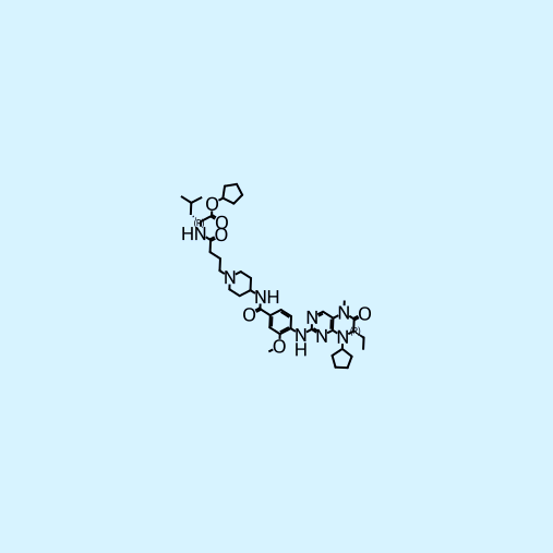 CC[C@@H]1C(=O)N(C)c2cnc(Nc3ccc(C(=O)NC4CCN(CCCC(=O)N[C@H](CC(C)C)C(=O)OC5CCCC5)CC4)cc3OC)nc2N1C1CCCC1